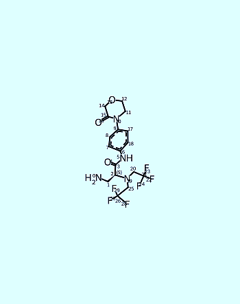 NC[C@@H](C(=O)Nc1ccc(N2CCOCC2=O)cc1)N(CC(F)(F)F)CC(F)(F)F